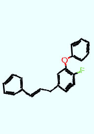 Fc1ccc(CC=Cc2ccccc2)cc1Oc1ccccc1